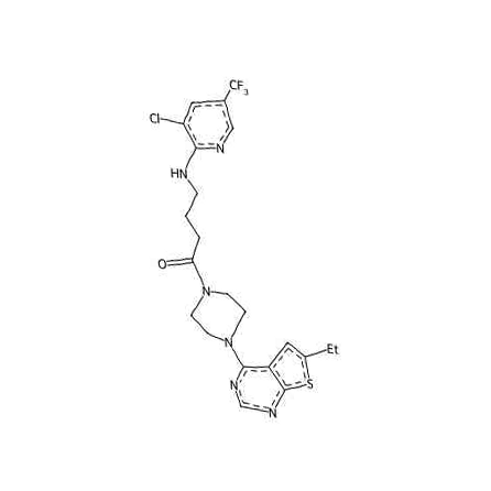 CCc1cc2c(N3CCN(C(=O)CCCNc4ncc(C(F)(F)F)cc4Cl)CC3)ncnc2s1